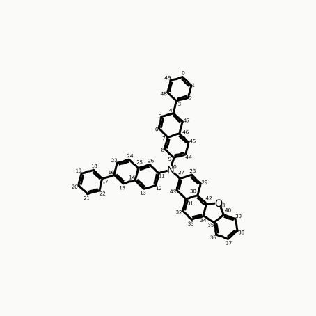 c1ccc(-c2ccc3cc(N(c4ccc5cc(-c6ccccc6)ccc5c4)c4ccc5c(ccc6c7ccccc7oc56)c4)ccc3c2)cc1